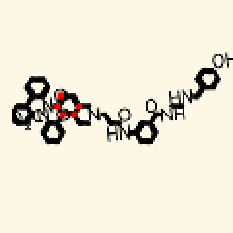 O=C(CCN1CCC(OC(=O)N(c2ccccc2-c2ccccc2)N(C(=O)O)c2ccccc2-c2ccccc2)CC1)Nc1cccc(C(=O)NCCNCc2ccc(O)cc2)c1